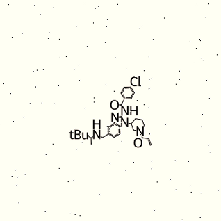 C=CC(=O)N1CCCC(n2c(NC(=O)c3ccc(Cl)cc3)nc3cc(CNC(C)C(C)(C)C)ccc32)C1